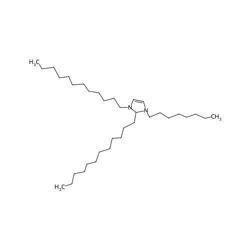 CCCCCCCCCCCCC1N(CCCCCCCC)C=CN1CCCCCCCCCCCC